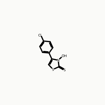 On1c(-c2ccc(Cl)cc2)csc1=S